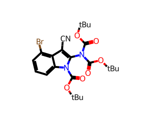 CC(C)(C)OC(=O)N(C(=O)OC(C)(C)C)c1c(C#N)c2c(Br)cccc2n1C(=O)OC(C)(C)C